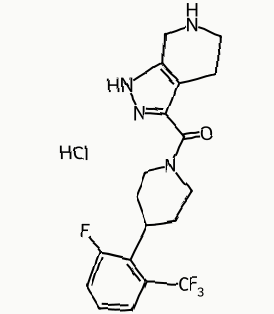 Cl.O=C(c1n[nH]c2c1CCNC2)N1CCC(c2c(F)cccc2C(F)(F)F)CC1